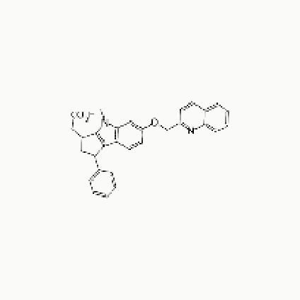 Cn1c2c(c3ccc(OCc4ccc5ccccc5n4)cc31)C(c1ccccc1)CC2CC(=O)O